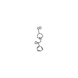 O=C(CN1CCC(C2CO2)CC1)c1ccccc1